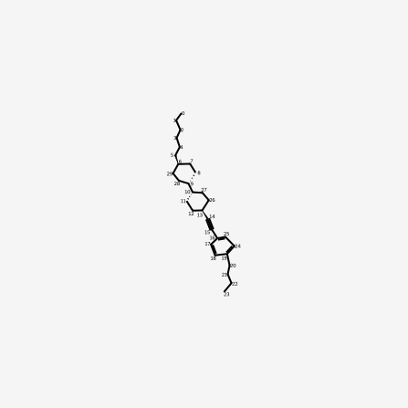 CCCCCC[C@H]1CC[C@H]([C@H]2CC[C@H](C#Cc3ccc(CCCC)cc3)CC2)CC1